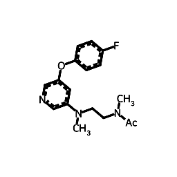 CC(=O)N(C)CCN(C)c1cncc(Oc2ccc(F)cc2)c1